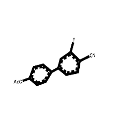 CC(=O)Oc1ccc(-c2ccc(C#N)c(F)c2)cc1